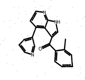 Cc1ccccc1C(=O)c1c[nH]c2nccc(-c3cccnc3)c12